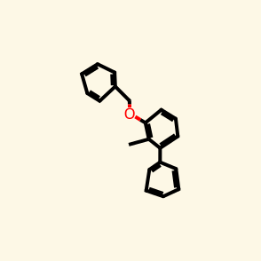 Cc1c(OCc2ccccc2)cccc1-c1ccccc1